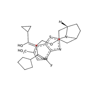 N=C(/C(COC1CC2CC[C@@H](C1)N2c1nc2c(F)cc(C(=O)O)cc2s1)=C(\O)C1CC1)C1CCCC1